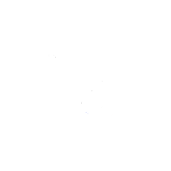 CC(=O)Nc1ccc(C23CC2C(=O)NC3=O)cc1